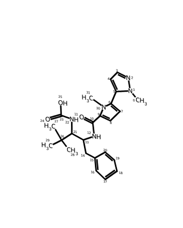 Cn1nccc1-c1ccc(C(=O)NC(Cc2ccccc2)C(NC(=O)O)C(C)(C)C)n1C